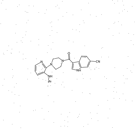 CC(C)Nc1cccnc1N1CCN(C(=O)c2c[nH]c3cc(C#N)ccc23)CC1